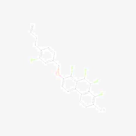 C=CCCc1ccc(COc2ccc3c(c2F)C(F)C(F)c2c-3ccc(CCC)c2F)cc1F